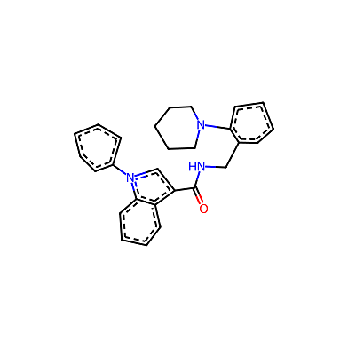 O=C(NCc1ccccc1N1CCCCC1)c1cn(-c2ccccc2)c2ccccc12